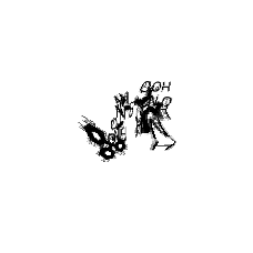 O=C(Cn1nnnc1SCC1=C(C(=O)O)N2C(=O)[C@H]3NC[C@@H](O1)[C@H]32)NOC(c1ccccc1)(c1ccccc1)c1ccccc1